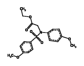 CCOC(=O)CN(c1ccc(OC)cc1)S(=O)(=O)c1ccc(OC)cc1